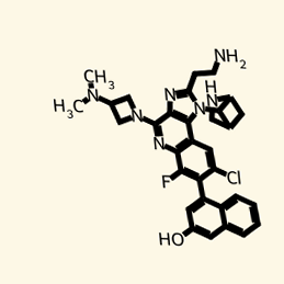 CN(C)C1CN(c2nc3c(F)c(-c4cc(O)cc5ccccc45)c(Cl)cc3c3c2nc(CCN)n3C2C3CNC2C3)C1